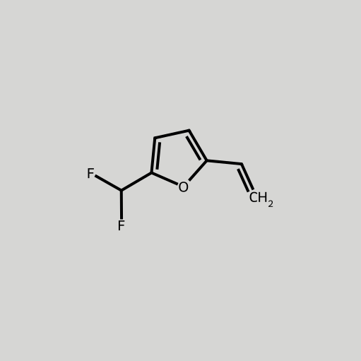 C=Cc1ccc(C(F)F)o1